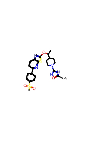 CC(C)c1nc(N2CCC(C(C)Oc3nc4ccc(-c5ccc(S(C)(=O)=O)cc5)nc4s3)CC2)no1